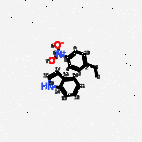 CCc1ccc([N+](=O)[O-])cc1.c1ccc2[nH]ccc2c1